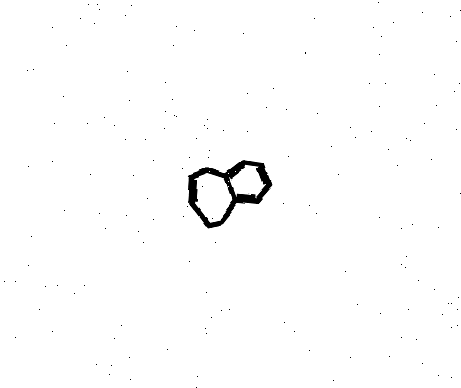 [C]1C=CCCc2ccccc21